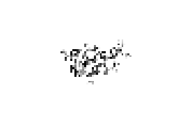 CCOc1nnc2n1-c1c(Cl)ccc(Cl)c1C(c1cccc(OC(C)C)c1)=NC2C